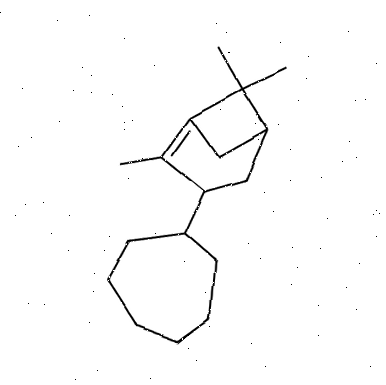 CC1=C2CC(CC1C1CCCCCC1)C2(C)C